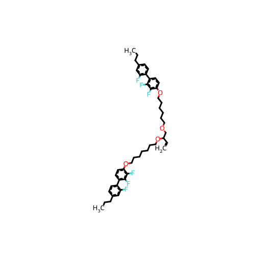 C=CC(COCCCCCCOc1ccc(-c2ccc(CCC)cc2F)c(F)c1F)OCCCCCCCOc1ccc(-c2ccc(CCC)cc2F)c(F)c1F